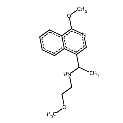 COCCNC(C)c1cnc(OC)c2ccccc12